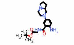 CC(C)(C)OC(=O)CNC(=O)c1cc(N2CCN3CCCC3C2)ccc1N